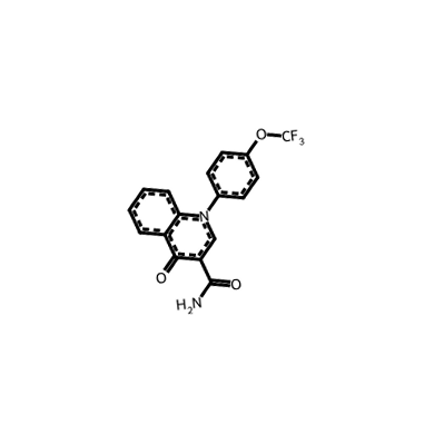 NC(=O)c1cn(-c2ccc(OC(F)(F)F)cc2)c2ccccc2c1=O